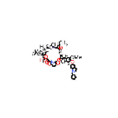 C=CCC1/C=C(\C)CC(C)CC(OC)C2OC(O)(C(=O)C(=O)N3CCCCC3C(=O)OC(C(C)=CC3CCC(Oc4ccc5c(ccn5Cc5ccccc5)c4)C(OC)C3)C(C)CCC1=O)C(C)CC2OC